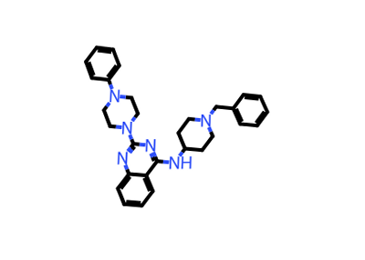 c1ccc(CN2CCC(Nc3nc(N4CCN(c5ccccc5)CC4)nc4ccccc34)CC2)cc1